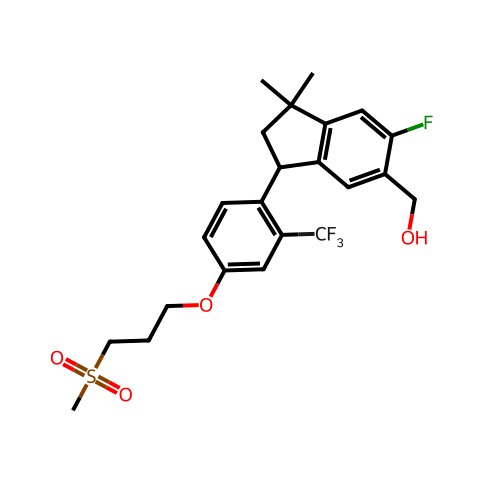 CC1(C)CC(c2ccc(OCCCS(C)(=O)=O)cc2C(F)(F)F)c2cc(CO)c(F)cc21